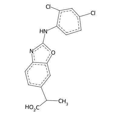 CC(C(=O)O)c1ccc2nc(Nc3ccc(Cl)cc3Cl)oc2c1